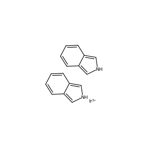 [Ir+3].c1ccc2c[nH]cc2c1.c1ccc2c[nH]cc2c1